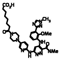 CNC(=O)c1nnc(Nc2ccc(N3CCN(C(=O)CCCCCCC(=O)O)CC3)cn2)cc1Nc1cccc(-c2ncn(C)n2)c1OC